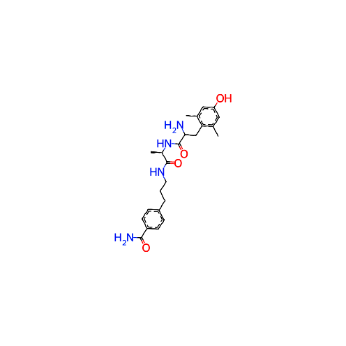 Cc1cc(O)cc(C)c1CC(N)C(=O)N[C@H](C)C(=O)NCCCc1ccc(C(N)=O)cc1